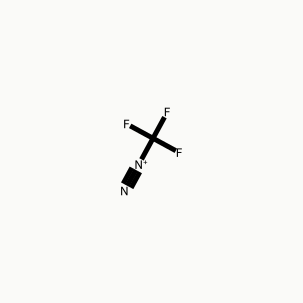 N#[N+]C(F)(F)F